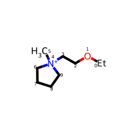 CCOCC[N+]1(C)CCCC1